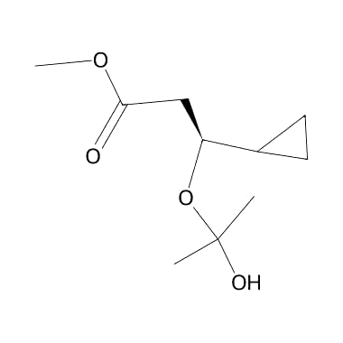 COC(=O)C[C@H](OC(C)(C)O)C1CC1